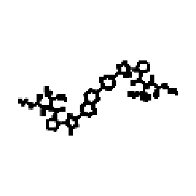 COC(=O)N[C@H](C(=O)N1CCCC1c1nc(-c2cnc3cc(-c4ccc(-c5cnc([C@@H]6CCCN6C(=O)[C@@H](NC(=O)OC)C(C)C)[nH]5)cn4)ccc3c2)c[nH]1)C(C)C